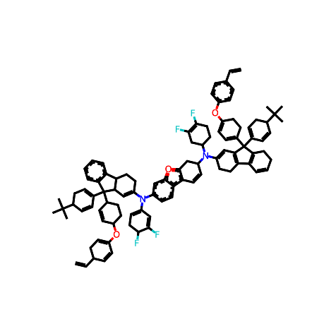 C=Cc1ccc(OC2=CC=C(C3(C4=CCC(C(C)(C)C)C=C4)C4=C(CCC(N(C5C=Cc6c(oc7cc(N(C8=CCC(F)C(F)=C8)C8=CC9C(CC8)c8ccccc8C9(C8=CCC(C(C)(C)C)C=C8)C8C=CC(OC9=CCC(C=C)C=C9)CC8)ccc67)C5)C5CCC(F)=C(F)C5)=C4)C4=C3CCC=C4)CC2)cc1